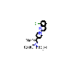 CNC(CN(CC=O)C(=O)O)C1CCN(c2ccc3cccc(Cl)c3n2)CC1